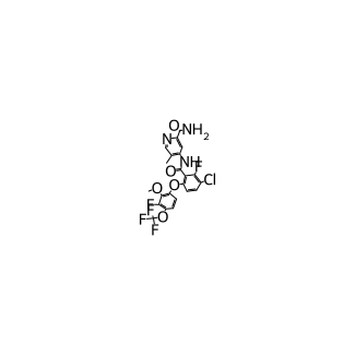 COc1c(Oc2ccc(Cl)c(F)c2C(=O)Nc2cc(C(N)=O)ncc2C)ccc(OC(F)(F)F)c1F